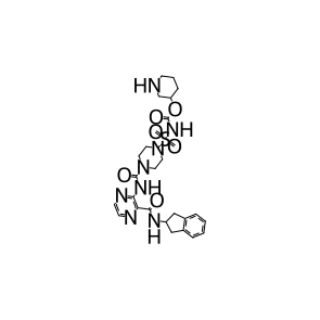 O=C(NS(=O)(=O)N1CCN(C(=O)Nc2nccnc2C(=O)NC2Cc3ccccc3C2)CC1)OC1CCCNC1